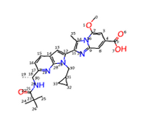 COc1cc(C(=O)O)cc2nc(-c3cc4ccc([C@@H](C)NC(=O)C(C)(C)C)nc4n3CC3CC3)c(C)n12